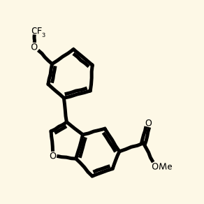 COC(=O)c1ccc2occ(-c3cccc(OC(F)(F)F)c3)c2c1